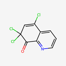 O=C1c2ncccc2C(Cl)=CC1(Cl)Cl